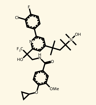 COc1cc(C(=O)NCC(O)(c2cc(C(C)(C)CC(C)(C)[Si](C)(C)O)cc(-c3ccc(F)c(Cl)c3)n2)C(F)(F)F)ccc1OC1CC1